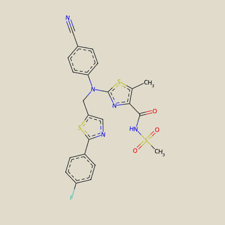 Cc1sc(N(Cc2cnc(-c3ccc(F)cc3)s2)c2ccc(C#N)cc2)nc1C(=O)NS(C)(=O)=O